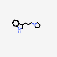 c1ccc2c(c1)NCC2CCCN1CCCC1